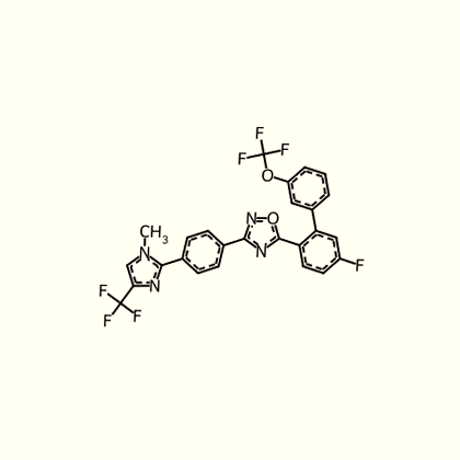 Cn1cc(C(F)(F)F)nc1-c1ccc(-c2noc(-c3ccc(F)cc3-c3cccc(OC(F)(F)F)c3)n2)cc1